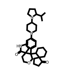 CC(C)C1CCCN1C1CCN(c2ccc(C3(C4CCCCC45CCCC5=O)COCCC34CCNC4=O)cc2)CC1